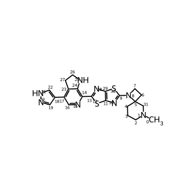 CN1CCCC2(CCN2c2nc3sc(-c4ncc(-c5cn[nH]c5)c5c4NCC5)nc3s2)C1